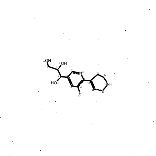 OC[C@@H](O)[C@H](O)c1cnc(C2=CCNCC2)c(F)c1